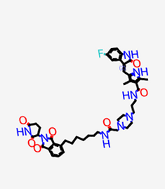 Cc1[nH]c(/C=C2\C(=O)Nc3ccc(F)cc32)c(C)c1C(=O)NCCCN1CCN(CC(=O)NCCCCCCCc2cccc3c2C(=O)N(C2CCC(=O)NC2=O)C3=O)CC1